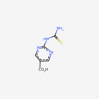 NC(=S)Nc1ncc(C(=O)O)cn1